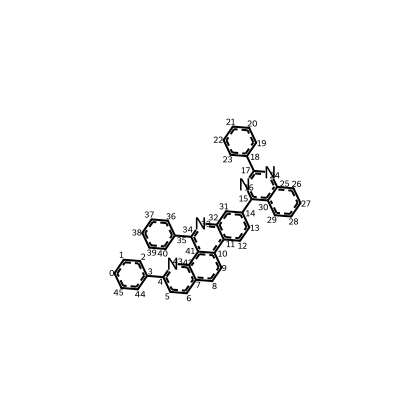 c1ccc(-c2ccc3ccc4c5ccc(-c6nc(-c7ccccc7)nc7ccccc67)cc5nc(-c5ccccc5)c4c3n2)cc1